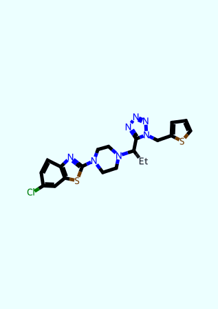 CCC(c1nnnn1Cc1cccs1)N1CCN(c2nc3ccc(Cl)cc3s2)CC1